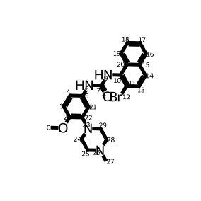 COc1ccc(NC(=O)Nc2c(Br)ccc3ccccc23)cc1N1CCN(C)CC1